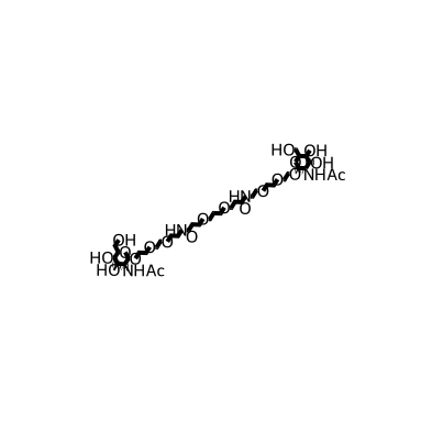 CC(=O)NC1[C@H](OCCOCCOCCNC(=O)CCOCCCOCCC(=O)NCCOCCOCCOC2OC(CO)C(O)[C@H](O)[C@@H]2NC(C)=O)OC(CO)C(O)[C@@H]1O